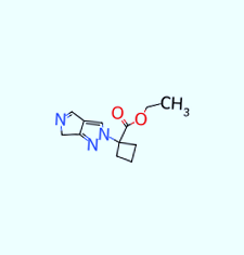 CCOC(=O)C1(n2cc3c(n2)CN=C3)CCC1